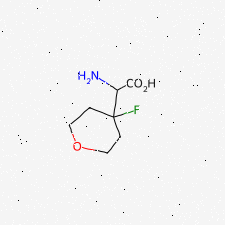 NC(C(=O)O)C1(F)CCOCC1